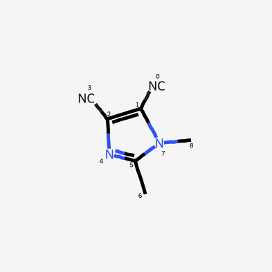 [C-]#[N+]c1c(C#N)nc(C)n1C